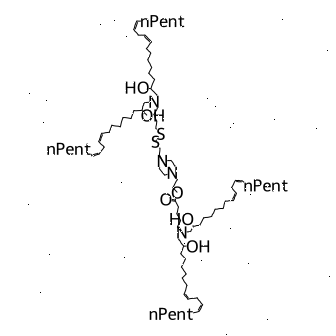 CCCCC/C=C\C/C=C\CCCCCCC(O)CN(CCCCSSCCN1CCN(CCOC(=O)CCCCN(CC(O)CCCCCC/C=C\C/C=C\CCCCC)CC(O)CCCCCC/C=C\C/C=C\CCCCC)CC1)CC(O)CCCCCC/C=C\C/C=C\CCCCC